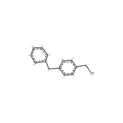 CC(C)Cc1ccc(Cc2ccccc2)cc1